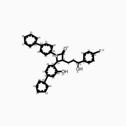 O=C1C(CC[C@H](O)c2ccc(F)cc2)C(c2ccc(-c3ccccc3)cc2O)N1c1ccc(-c2ccccc2)cc1